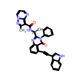 Cc1nn2cccnc2c1C(=O)N[C@@H](C)c1nc2cccc(C#Cc3c[nH]c4ccccc34)c2c(=O)n1-c1ccccc1